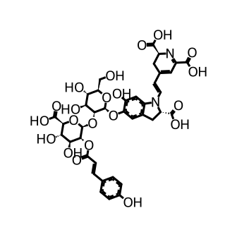 O=C(/C=C/c1ccc(O)cc1)O[C@H]1[C@H](O[C@H]2[C@H](Oc3cc4c(cc3O)N(/C=C/C3=CC(C(=O)O)=N[C@H](C(=O)O)C3)[C@H](C(=O)O)C4)O[C@H](CO)[C@@H](O)[C@@H]2O)O[C@H](C(=O)O)[C@@H](O)[C@@H]1O